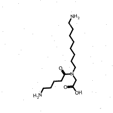 NCCCCCCCCN(CC(=O)O)C(=O)CCCCN